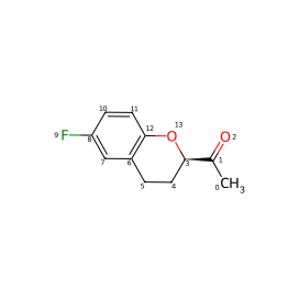 CC(=O)[C@H]1CCc2cc(F)ccc2O1